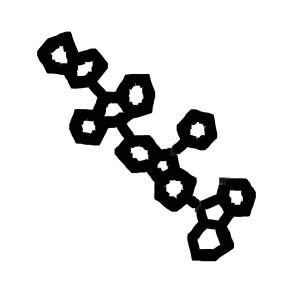 C1=CCC2C(=C1)c1cccnc1N2c1ccc2c3ccc(-c4c5ccccc5c(-c5ccc6ccccc6c5)c5ccccc45)cc3n(-c3ccccc3)c2c1